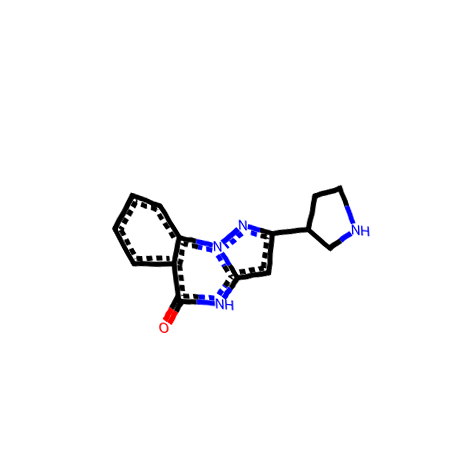 O=c1[nH]c2cc(C3CCNC3)nn2c2ccccc12